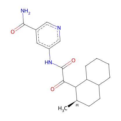 C[C@@H]1CCC2CCCCC2C1C(=O)C(=O)Nc1cncc(C(N)=O)c1